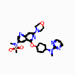 CN(c1ncccn1)C1CCC(Oc2nc(N3CCOCC3)cc3ncc(N(C)S(C)(=O)=O)cc23)CC1